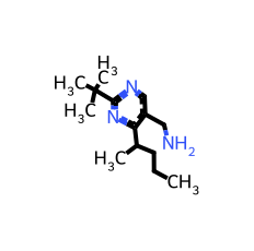 CCCC(C)c1nc(C(C)(C)C)ncc1CN